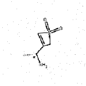 C[C@@H](N)C1=CS(=O)(=O)C1